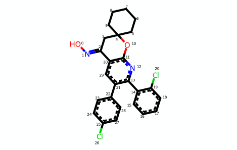 ON=C1CC2(CCCCC2)Oc2nc(-c3ccccc3Cl)c(-c3ccc(Cl)cc3)cc21